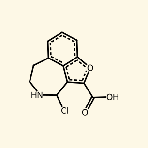 O=C(O)c1oc2cccc3c2c1C(Cl)NCC3